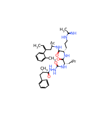 C/C=C(/C[C@H](NC(=O)[C@H](CCCNC(C)=N)NC(=O)[C@H](CC(C)C)NC(=O)NNC(=O)[C@@H](C)Cc1ccccc1)C(C)=O)c1ccccc1C